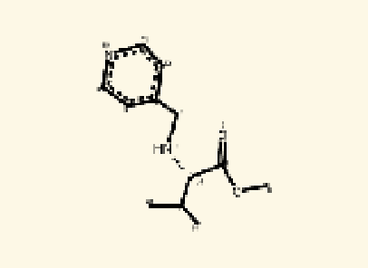 COC(=O)[C@@H](NCc1ccncc1)C(C)C